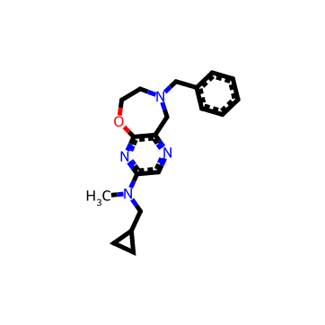 CN(CC1CC1)c1cnc2c(n1)OCCN(Cc1ccccc1)C2